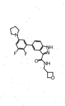 O=C(NCC1COC1)c1n[nH]c2ccc(-c3cc(N4CCCC4)cc(F)c3F)cc12